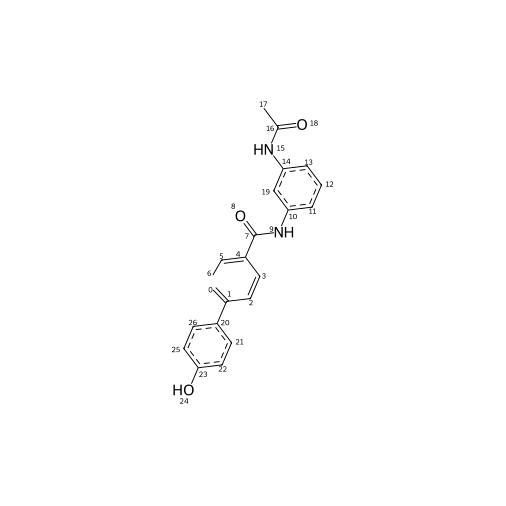 C=C(/C=C\C(=C/C)C(=O)Nc1cccc(NC(C)=O)c1)c1ccc(O)cc1